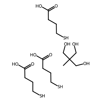 CC(CO)(CO)CO.O=C(O)CCCS.O=C(O)CCCS.O=C(O)CCCS